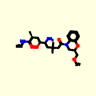 CCCCNC(=O)[C@H](C)C[C@H](O)[C@@H](N)CC(C)(C)CC(=O)N1C[C@H](COCCC)Oc2ccccc21